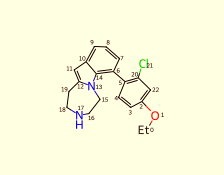 CCOc1ccc(-c2cccc3cc4n(c23)CCNCC4)c(Cl)c1